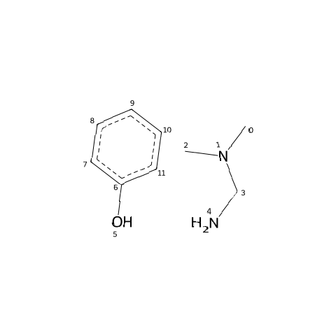 CN(C)CN.Oc1ccccc1